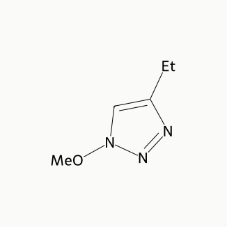 CCc1cn(OC)nn1